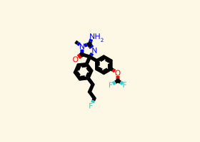 CN1C(=O)C(c2ccc(OC(F)F)cc2)(c2cccc(CCCF)c2)N=C1N